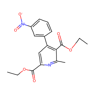 CCOC(=O)c1cc(-c2cccc([N+](=O)[O-])c2)c(C(=O)OCC)c(C)n1